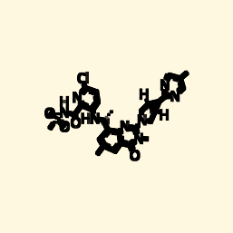 Cc1cnc(C2[C@H]3CN(c4nc5c([C@@H](C)Nc6ccc(Cl)nc6C(=O)NS(C)(=O)=O)cc(C)cc5c(=O)n4C)C[C@@H]23)nc1